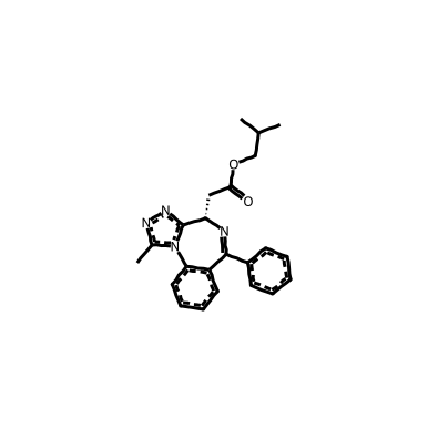 Cc1nnc2n1-c1ccccc1C(c1ccccc1)=N[C@H]2CC(=O)OCC(C)C